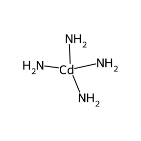 [NH2][Cd]([NH2])([NH2])[NH2]